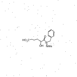 CN[C@H](Cc1ccccc1)C(=O)C(O)CCCC(=O)O